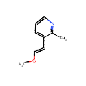 CO/C=C/c1cccnc1C